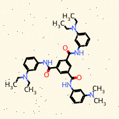 CCN(CC)c1cccc(NC(=O)c2cc(C(=O)Nc3cccc(N(C)C)c3)cc(C(=O)Nc3cccc(N(CC)CC)c3)c2)c1